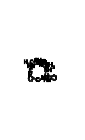 CC(C)[C@@H]1NCCOc2ccccc2C2CCC(C2)NC(=O)[C@@H](Cc2c[nH]c3ccccc23)NC(=O)[C@H](C(C)O)N(C)C1=O